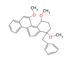 COc1cc2ccccc2c2ccc3c(c12)C(OC)CCC3(Cc1ccccc1)OC